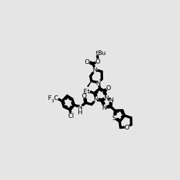 CCc1c(N2CCN(C(=O)OC(C)(C)C)C[C@@H]2C)c(=O)n2nc(-c3cc4c(s3)COCC4)nc2n1CC(=O)Nc1ccc(C(F)(F)F)cc1Cl